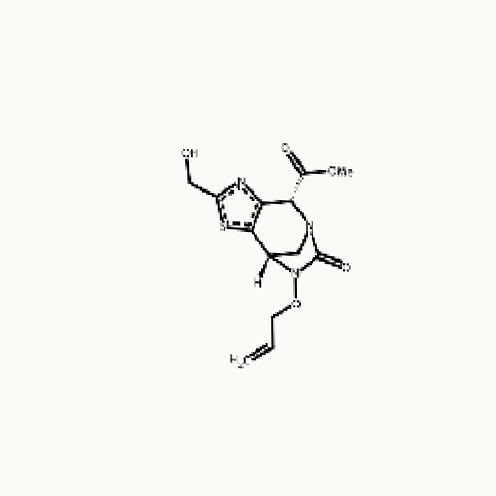 C=CCON1C(=O)N2C[C@H]1c1sc(CO)nc1[C@@H]2C(=O)OC